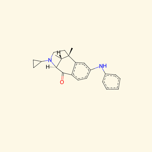 C[C@H]1[C@H]2C(=O)c3ccc(Nc4ccccc4)cc3[C@@]1(C)CCN2C1CC1